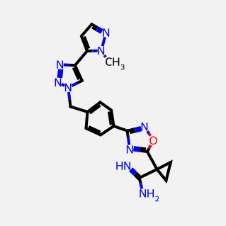 Cn1nccc1-c1cn(Cc2ccc(-c3noc(C4(C(=N)N)CC4)n3)cc2)nn1